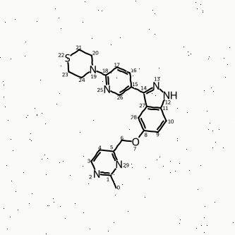 Cc1nccc(COc2ccc3[nH]nc(-c4ccc(N5CCSCC5)nc4)c3c2)n1